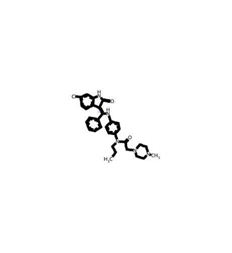 CCCN(C(=O)CN1CCN(C)CC1)c1ccc(N/C(=C2\C(=O)Nc3cc(Cl)ccc32)c2ccccc2)cc1